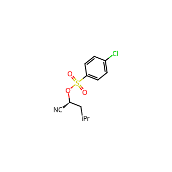 CC(C)C[C@@H](C#N)OS(=O)(=O)c1ccc(Cl)cc1